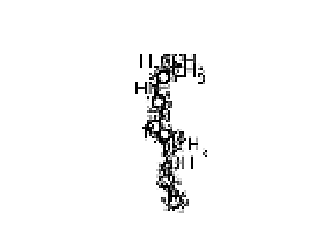 COc1cc2c(Oc3ccc(Nc4ccc(C(C)(C)C)cc4)cc3)ccnc2cc1OCC(O)CN1CCC(N2CCCCC2)CC1